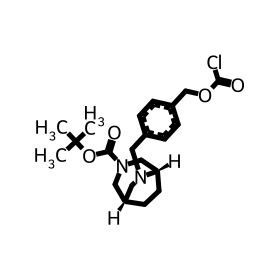 CC(C)(C)OC(=O)N1C[C@H]2CC[C@@H](C1)N(Cc1ccc(COC(=O)Cl)cc1)C2